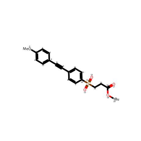 COc1ccc(C#Cc2ccc(S(=O)(=O)CCC(=O)OC(C)(C)C)cc2)cc1